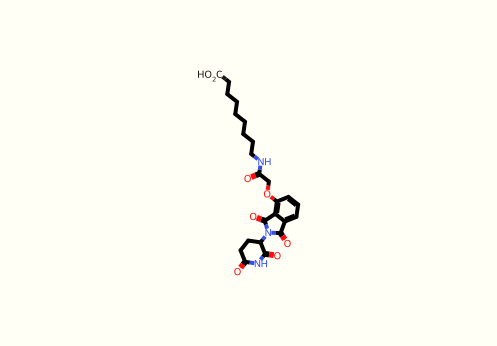 O=C(O)CCCCCCCCNC(=O)COc1cccc2c1C(=O)N(C1CCC(=O)NC1=O)C2=O